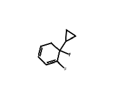 FC1=CC=C[CH]C1(F)C1CC1